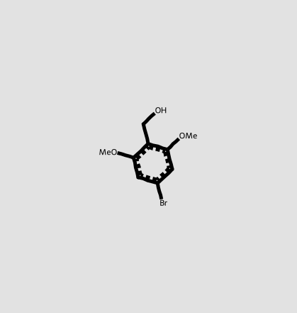 COc1cc(Br)cc(OC)c1CO